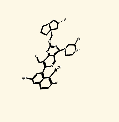 C#Cc1c(F)ccc2cc(O)cc(-c3ncc4c(N5CCN[C@H](CC)C5)nc(OC[C@@]56CCCN5C[C@H](F)C6)nc4c3CF)c12